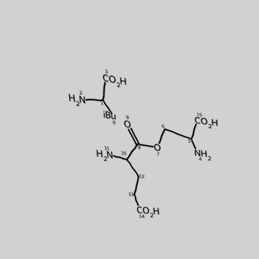 CCC(C)C(N)C(=O)O.NC(COC(=O)C(N)CCC(=O)O)C(=O)O